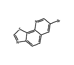 Brc1cnc2c(ccc3ncsc32)c1